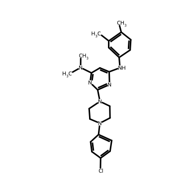 Cc1ccc(Nc2cc(N(C)C)nc(N3CCN(c4ccc(Cl)cc4)CC3)n2)cc1C